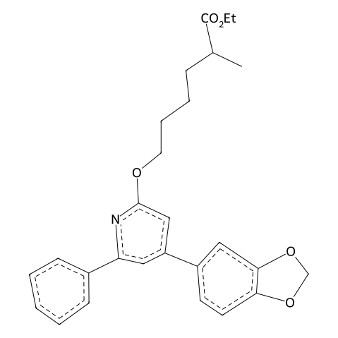 CCOC(=O)C(C)CCCCOc1cc(-c2ccc3c(c2)OCO3)cc(-c2ccccc2)n1